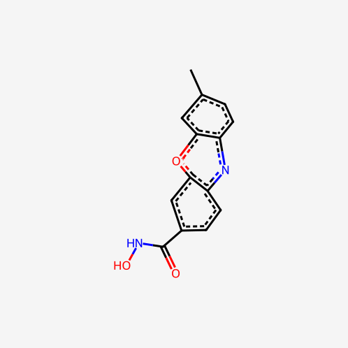 Cc1ccc2nc3ccc(C(=O)NO)cc3[o+]c2c1